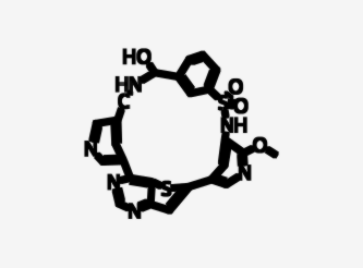 COc1ncc2cc1NS(=O)(=O)c1cccc(c1)C(O)NCc1cncc(c1)-c1ncnc3cc-2sc13